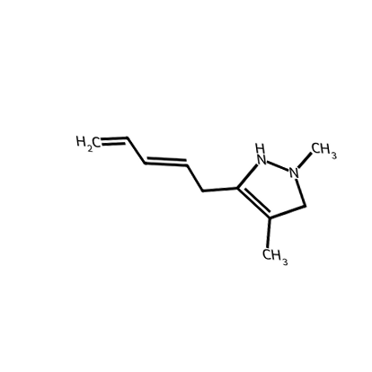 C=C/C=C/CC1=C(C)CN(C)N1